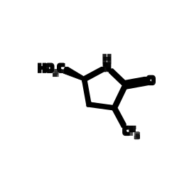 O=C1N[C@H](C(=O)O)CC1C(F)(F)F